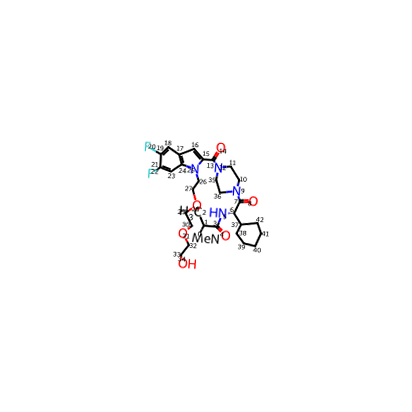 CNC(C)C(=O)N[C@H](C(=O)N1CCN(C(=O)c2cc3cc(F)c(F)cc3n2CCOCCOCCO)CC1)C1CCCCC1